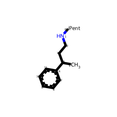 CCCC(C)NCCC(C)c1ccccc1